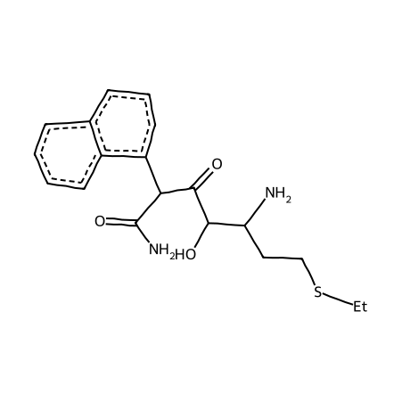 CCSCCC(N)C(O)C(=O)C(C(N)=O)c1cccc2ccccc12